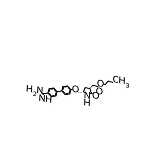 CCCCOC(=O)C[C@@H]1C[C@@H](COc2ccc(-c3ccc(C(=N)N)cc3)cc2)NC1=O